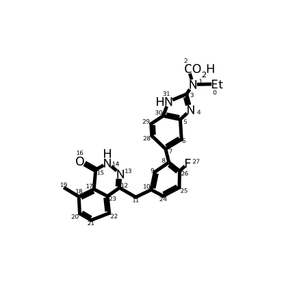 CCN(C(=O)O)c1nc2cc(-c3cc(Cc4n[nH]c(=O)c5c(C)cccc45)ccc3F)ccc2[nH]1